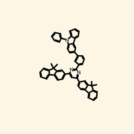 CC1(C)c2ccccc2-c2ccc(-c3cc(-c4ccc5c(c4)C(C)(C)c4ccccc4-5)nc(-c4cccc(-c5ccc6c(c5)c5ccccc5n6-c5ccccc5)c4)n3)cc21